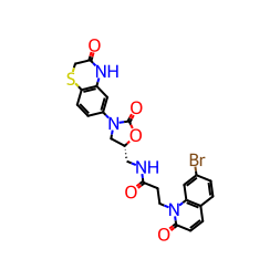 O=C(CCn1c(=O)ccc2ccc(Br)cc21)NC[C@@H]1CN(c2ccc3c(c2)NC(=O)CS3)C(=O)O1